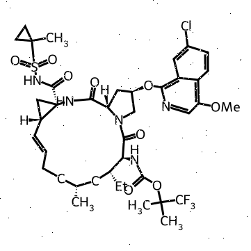 CC[C@@H]1C[C@H](C)CC/C=C/[C@@H]2C[C@@]2(C(=O)NS(=O)(=O)C2(C)CC2)NC(=O)[C@@H]2C[C@@H](Oc3ncc(OC)c4ccc(Cl)cc34)CN2C(=O)[C@H]1NC(=O)OC(C)(C)C(F)(F)F